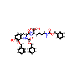 O=C(NCCCC[C@H](NC(=O)[C@H](Cc1ccc(O)c(OCc2ccccc2)c1)NC(=O)OCc1ccccc1)C(=O)O)OCc1ccccc1